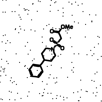 COC(=O)CS(=O)(=O)N1CCC(c2ccccc2)CC1